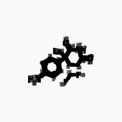 CCC1(c2ccc(N)cc2)CCC(=O)NC1=O.F[CH]F